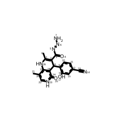 CC1=C(C(=O)N=NN)C(c2ccc(C#N)cc2O)c2c(c(C)c[nH]c2=O)N1